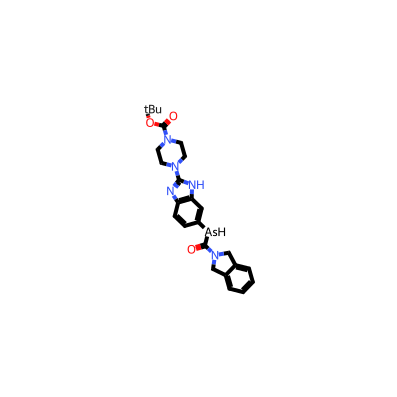 CC(C)(C)OC(=O)N1CCN(c2nc3ccc([AsH]C(=O)N4Cc5ccccc5C4)cc3[nH]2)CC1